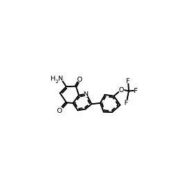 NC1=CC(=O)c2ccc(-c3cccc(OC(F)(F)F)c3)nc2C1=O